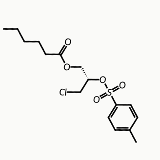 CCCCCC(=O)OC[C@@H](CCl)OS(=O)(=O)c1ccc(C)cc1